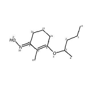 CCCC(C)OC1=C(C)C(=NO)CCC1